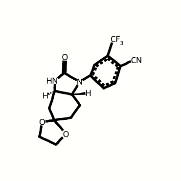 N#Cc1ccc(N2C(=O)N[C@@H]3CC4(CC[C@H]32)OCCO4)cc1C(F)(F)F